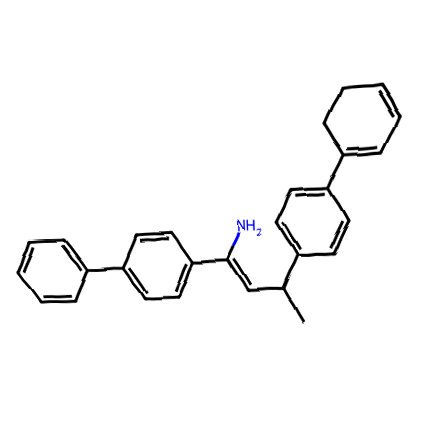 CC(/C=C(\N)c1ccc(-c2ccccc2)cc1)c1ccc(C2=CC=CCC2)cc1